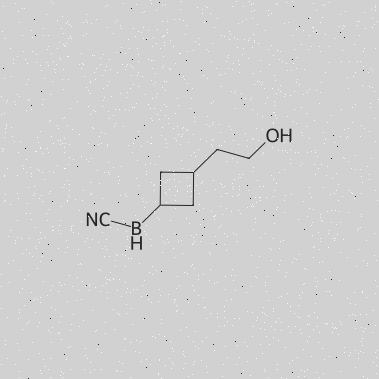 N#CBC1CC(CCO)C1